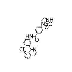 O=C(Nc1ccc(Cl)c(-c2nccc3ccsc23)c1)c1ccc(N2CCNS2(=O)=O)cc1